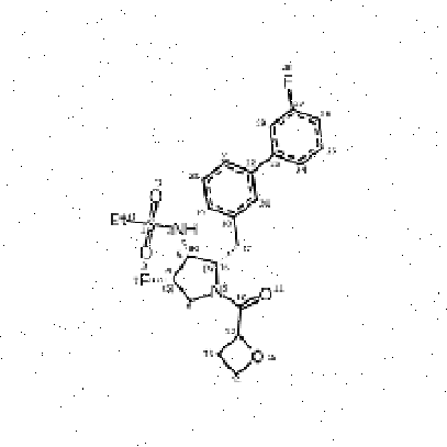 CCS(=O)(=O)N[C@H]1[C@@H](F)CN(C(=O)C2CCO2)[C@H]1Cc1cccc(-c2cccc(F)c2)c1